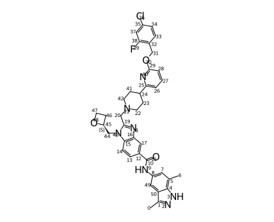 Cc1n[nH]c2c(C)cc(NC(=O)c3ccc4c(c3)nc(CN3CCC(c5cccc(OCc6ccc(Cl)cc6F)n5)CC3)n4C[C@@H]3CCO3)cc12